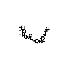 CC(C)(CN=[N+]=[N-])c1ccc(NC2CCN(CCCC(=O)N3CCC(Nc4ccc(I)c(C(F)(F)F)c4)C3)CC2)cc1